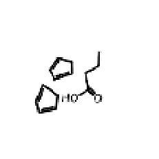 C1=CCC=C1.C1=CCC=C1.CCCC(=O)O